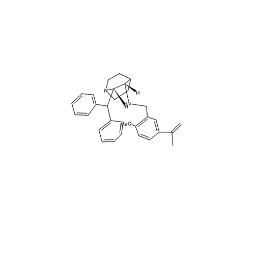 C=C(C)c1ccc(OC)c(CN[C@H]2C3CCN(CC3)[C@H]2C(c2ccccc2)c2ccccc2)c1